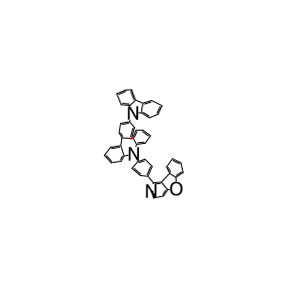 c1ccc(N(c2ccc(-c3nccc4oc5ccccc5c34)cc2)c2ccccc2-c2ccc(-n3c4ccccc4c4ccccc43)cc2)cc1